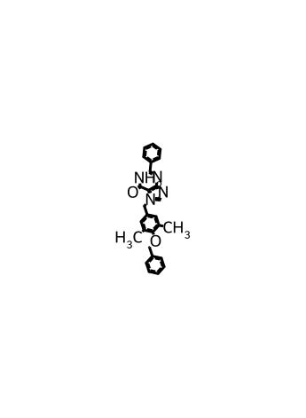 Cc1cc(Cn2cnc(N=Cc3ccccc3)c2C(N)=O)cc(C)c1OCc1ccccc1